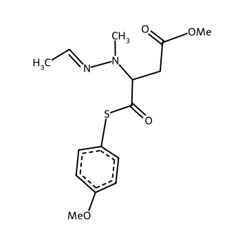 CC=NN(C)C(CC(=O)OC)C(=O)Sc1ccc(OC)cc1